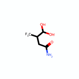 NC(=O)CC(C(O)O)C(F)(F)F